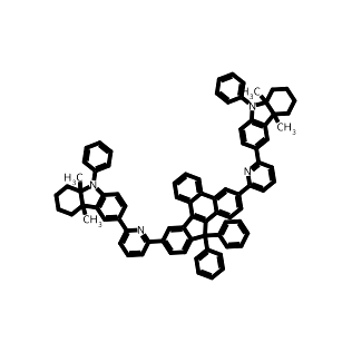 CC12CCCCC1(C)N(c1ccccc1)c1ccc(-c3cccc(-c4ccc5c(c4)-c4c(c6ccc(-c7cccc(-c8ccc9c(c8)C8(C)CCCCC8(C)N9c8ccccc8)n7)cc6c6ccccc46)C5(c4ccccc4)c4ccccc4)n3)cc12